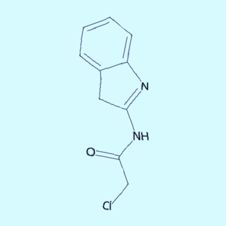 O=C(CCl)NC1=Nc2ccccc2C1